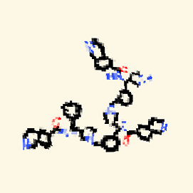 O=C(N[C@H](c1ccccc1)[C@@H]1CCN(Cc2cccc([C@H](NC(=O)c3ccc4cnccc4c3)[C@@H]3CCN(Cc4cccc([C@H](NC(=O)c5ccc6cnccc6c5)[C@@H]5CCNC5)c4)C3)c2)C1)c1ccc2cnccc2c1